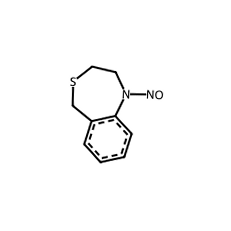 O=NN1CCSCc2ccccc21